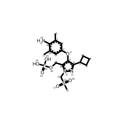 Cc1cc(Oc2c(C3CCC3)nn(CS(C)(=O)=O)c2COP(=O)(O)O)cc(C)c1N